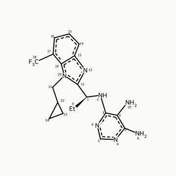 CC[C@H](Nc1ncnc(N)c1N)c1nc2cccc(C(F)(F)F)c2n1CC1CC1